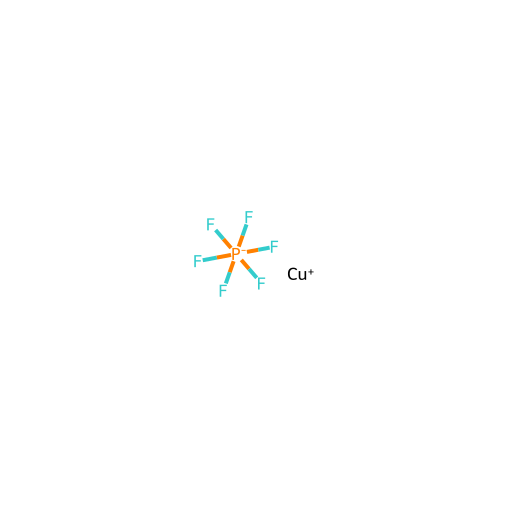 F[P-](F)(F)(F)(F)F.[Cu+]